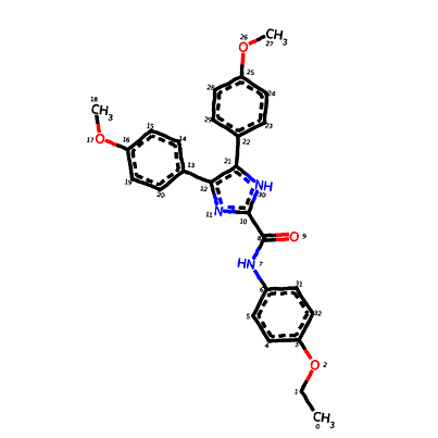 CCOc1ccc(NC(=O)c2nc(-c3ccc(OC)cc3)c(-c3ccc(OC)cc3)[nH]2)cc1